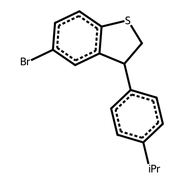 CC(C)c1ccc(C2CSc3ccc(Br)cc32)cc1